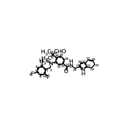 CN(Cc1c(F)cc(F)cc1F)c1cc(C(=O)NCc2cc3c([nH]2)CCC=C3)ccc1C(C)(C)C=O